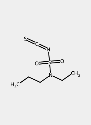 CCCN(CC)S(=O)(=O)N=C=S